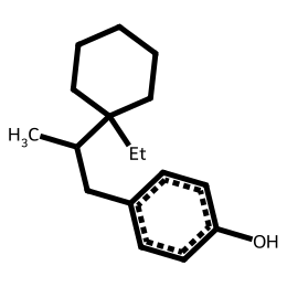 CCC1(C(C)Cc2ccc(O)cc2)CCCCC1